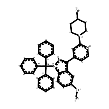 CC(C)Oc1ccc2c(c1)c(-c1ccnc(N3CCC(O)CC3)c1)nn2C(c1ccccc1)(c1ccccc1)c1ccccc1